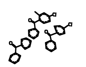 Cc1cc(Cl)ccc1C(=O)c1ccccc1.O=C(c1ccccc1)c1ccc(Cl)cc1.O=C(c1ccccc1)c1ccccc1